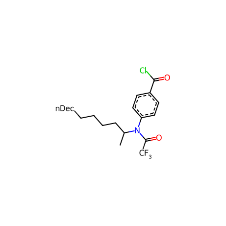 CCCCCCCCCCCCCCC(C)N(C(=O)C(F)(F)F)c1ccc(C(=O)Cl)cc1